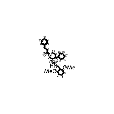 COc1cccc(OC)c1CNC(=O)OC1(c2ccccc2)CCN(C(=O)CCc2ccccc2)CC1